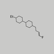 CCC1CCC(C2CCC(CCC=CF)CC2)CC1